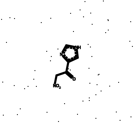 O=C(C[N+](=O)[O-])c1c[nH]cn1